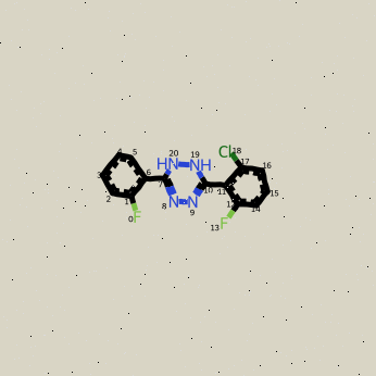 Fc1ccccc1C1=NN=C(c2c(F)cccc2Cl)NN1